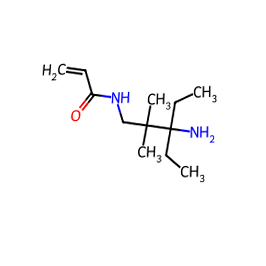 C=CC(=O)NCC(C)(C)C(N)(CC)CC